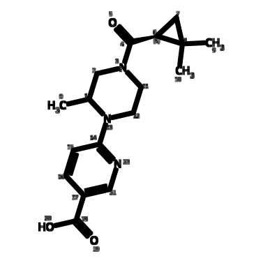 CC1CN(C(=O)[C@H]2CC2(C)C)CCN1c1ccc(C(=O)O)cn1